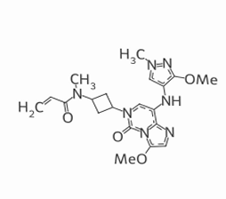 C=CC(=O)N(C)C1CC(n2cc(Nc3cn(C)nc3OC)c3ncc(OC)n3c2=O)C1